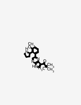 COc1cccc(-c2cnc3[nH]cc(C(=O)C(C)(C)C)c3n2)c1C1CCCN1